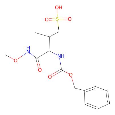 CONC(=O)C(NC(=O)OCc1ccccc1)C(C)CS(=O)(=O)O